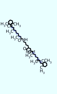 CCCCCCCCC(=O)C(CCCCNC(=O)/C=C(C)/C=C/C=C(C)/C=C/C1=C(C)CCCC1(C)C)CC(=O)/C=C(C)/C=C/C=C(C)/C=C/C1=C(C)CCCC1(C)C